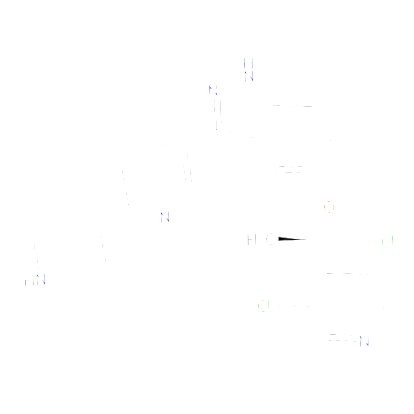 C[C@@H](Oc1ccc2[nH]nc(-c3ccc(C4CCNCC4)nc3)c2c1)c1c(Cl)cncc1Cl